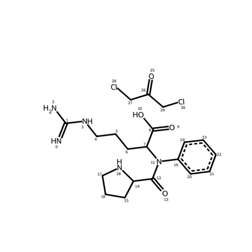 N=C(N)NCCCC(C(=O)O)N(C(=O)C1CCCN1)c1ccccc1.O=C(CCl)CCl